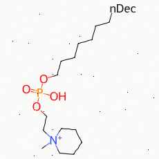 CCCCCCCCCCCCCCCCCOP(=O)(O)OCC[N+]1(C)CCCCC1